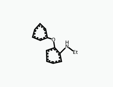 CCNc1ccccc1Oc1ccccc1